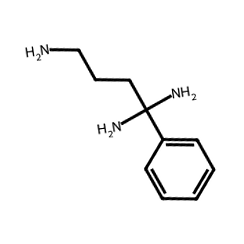 NCCCC(N)(N)c1ccccc1